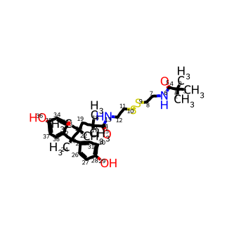 CC(C)(C)C(=O)NCCSSCCNC(=O)C(C)(C)CC(C)(C)C(C)(c1ccc(O)cc1)c1ccc(O)cc1